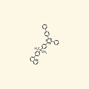 CC(C)(c1ccc(-c2nc(-c3ccccc3)nc(-c3ccc(-c4ccccc4)cc3)n2)cc1)c1ccc(-c2cccc3cccnc23)cc1